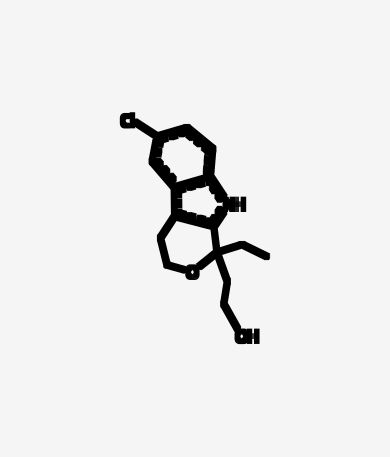 CCC1(CCO)OCCc2c1[nH]c1ccc(Cl)cc21